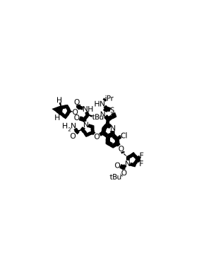 CC(C)Nc1nc(-c2cc(OC3C[C@@H](C(N)=O)N(C(=O)[C@@H](NC(=O)O[C@@H]4C[C@@H]5C[C@@H]5C4)C(C)(C)C)C3)c3ccc(OC[C@@H]4CC(F)(F)CN4C(=O)OC(C)(C)C)c(Cl)c3n2)cs1